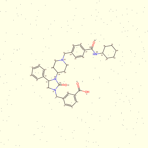 O=C(O)c1cccc(CN2CC(c3ccccc3)N(C3CCN(Cc4ccc(C(=O)NC5CCCCC5)cc4)CC3)C2=O)c1